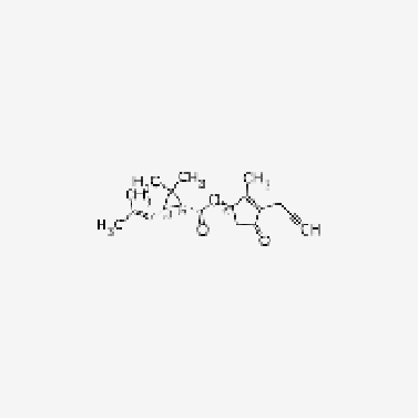 C#CCC1=C(C)[C@H](OC(=O)[C@@H]2[C@H](C=C(C)C)C2(C)C)CC1=O